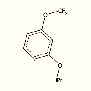 CC(C)Oc1[c]ccc(OC(F)(F)F)c1